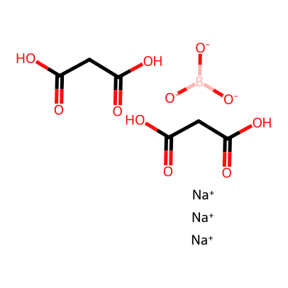 O=C(O)CC(=O)O.O=C(O)CC(=O)O.[Na+].[Na+].[Na+].[O-]B([O-])[O-]